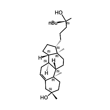 CCCC[C@](C)(O)CCC[C@H]1CC[C@H]2[C@@H]3CC=C4C[C@@](C)(O)CC[C@]4(C)[C@H]3CC[C@]12C